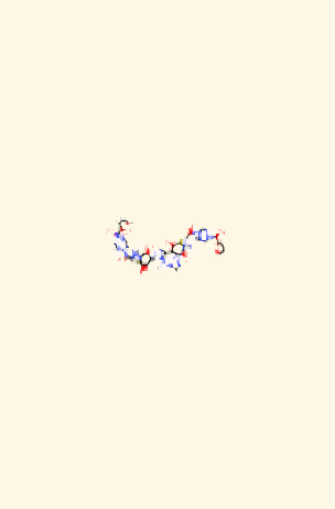 CN(C1CCN1C1=CC(=O)c2sc(C(=O)N3CCN(C(=O)C4CCCO4)CC3)nc2C1=O)C1CCN1C1=CC(=O)c2sc(C(=O)N3CCN(C(=O)C4CCCO4)CC3)nc2C1=O